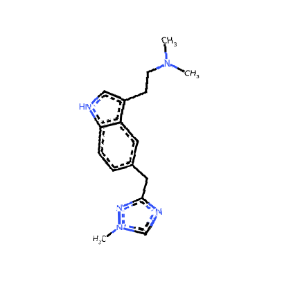 CN(C)CCc1c[nH]c2ccc(Cc3ncn(C)n3)cc12